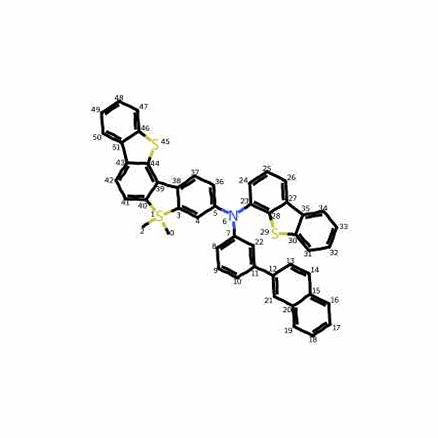 CS1(C)c2cc(N(c3cccc(-c4ccc5ccccc5c4)c3)c3cccc4c3sc3ccccc34)ccc2-c2c1ccc1c2sc2ccccc21